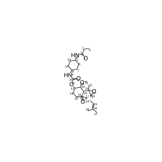 CCC(=O)N[C@H]1CC[C@@H](NC(=O)OC2CC[C@]3(CO3)C(C3(C)O[C@@H]3CC=C(C)C)C2OC)CC1